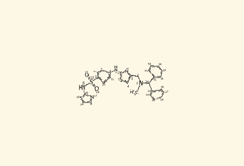 CN(Cc1csc(Nc2ccc(S(=O)(=O)Nc3nccs3)cc2)n1)C(c1ccccc1)c1ccccc1